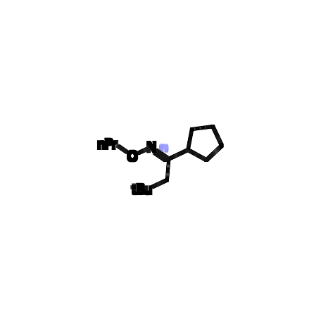 CCCO/N=C(\CC(C)(C)C)C1CCCC1